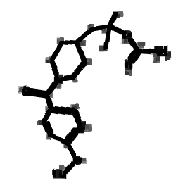 CC(C)(C)Oc1ccc(C(=O)N2CCC(CC(C)(C)OC(N)=O)CC2)cn1